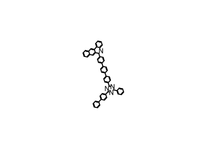 c1ccc(-c2ccc(-c3nc(-c4ccccc4)nc(-c4ccc(-c5ccc(-c6ccc(-c7nc8ccccc8c8cc9ccccc9cc78)cc6)cc5)cc4)n3)cc2)cc1